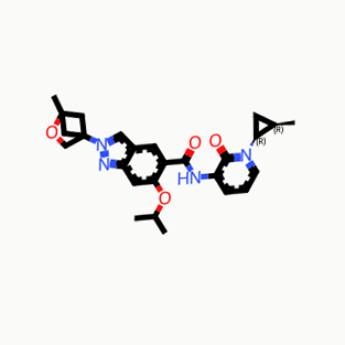 CC(C)Oc1cc2nn(C34COC(C)(C3)C4)cc2cc1C(=O)Nc1cccn([C@@H]2C[C@H]2C)c1=O